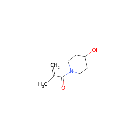 C=C(C)C(=O)N1CCC(O)CC1